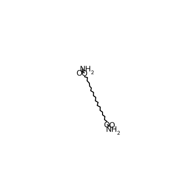 NC(=O)OCCCCCCCCCCCCCCCCCCCCOC(N)=O